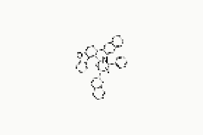 C1=Cc2cc(-c3nc(-c4ccccc4)nc(-c4c(-c5ccc6ccccc6c5)ccc5oc6ccccc6c45)n3)ccc2CC1